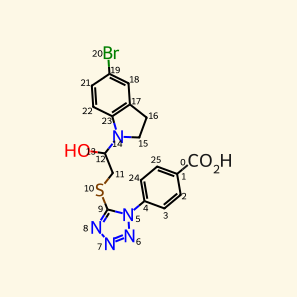 O=C(O)c1ccc(-n2nnnc2SCC(O)N2CCc3cc(Br)ccc32)cc1